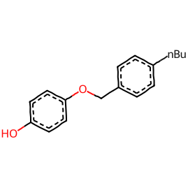 CCCCc1ccc(COc2ccc(O)cc2)cc1